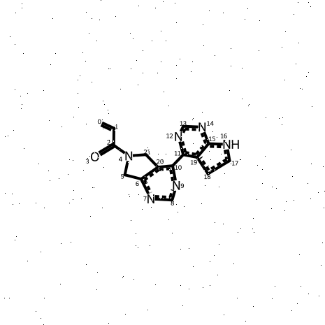 C=CC(=O)N1Cc2ncnc(-c3ncnc4[nH]ccc34)c2C1